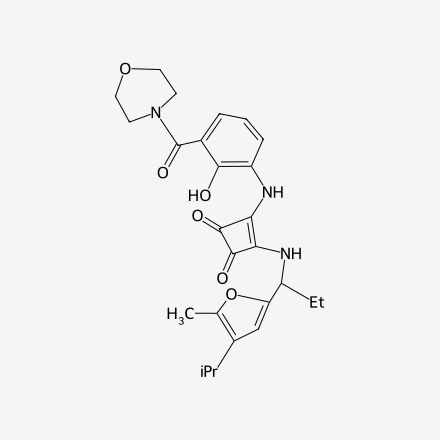 CCC(Nc1c(Nc2cccc(C(=O)N3CCOCC3)c2O)c(=O)c1=O)c1cc(C(C)C)c(C)o1